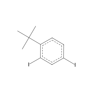 CC(C)(C)c1ccc(I)cc1I